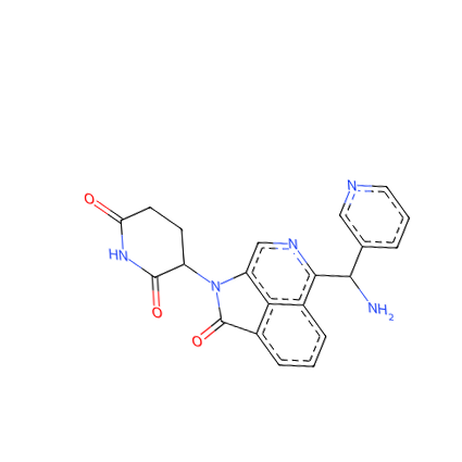 NC(c1cccnc1)c1ncc2c3c(cccc13)C(=O)N2C1CCC(=O)NC1=O